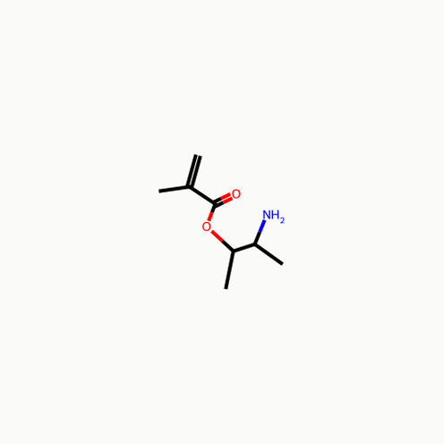 C=C(C)C(=O)OC(C)C(C)N